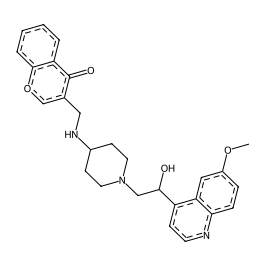 COc1ccc2nccc(C(O)CN3CCC(NCc4coc5ccccc5c4=O)CC3)c2c1